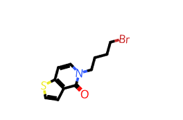 O=c1c2ccsc2ccn1CCCCBr